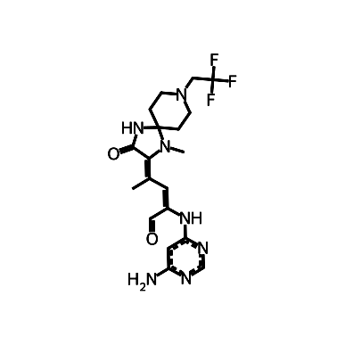 CC(/C=C(\C=O)Nc1cc(N)ncn1)=C1\C(=O)NC2(CCN(CC(F)(F)F)CC2)N1C